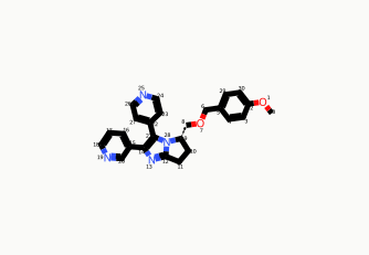 COc1ccc(COC[C@@H]2CCc3nc(-c4cccnc4)c(-c4ccncc4)n32)cc1